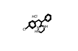 Cl.Clc1ccc(CC(C2=NNCCN2)c2ccccc2)cc1